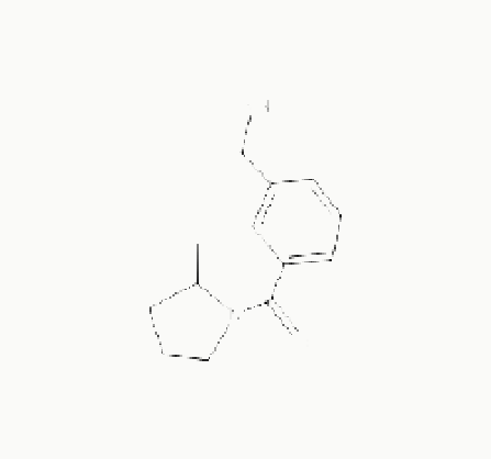 CC1CCCN1C(=O)c1cccc(CC#N)c1